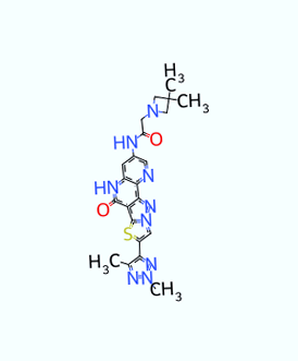 Cc1nn(C)nc1-c1cn2nc3c4ncc(NC(=O)CN5CC(C)(C)C5)cc4[nH]c(=O)c3c2s1